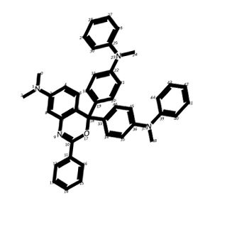 CN(C)c1ccc2c(c1)N=C(c1ccccc1)OC2(c1ccc(N(C)c2ccccc2)cc1)c1ccc(N(C)c2ccccc2)cc1